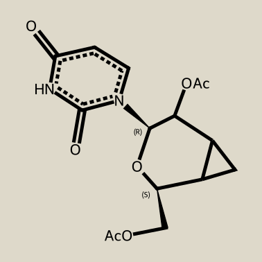 CC(=O)OC[C@H]1O[C@@H](n2ccc(=O)[nH]c2=O)C(OC(C)=O)C2CC21